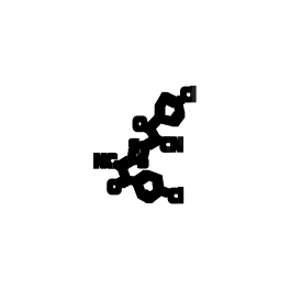 N#CC(C(=O)c1ccc(Cl)cc1)=c1sc(=C(C#N)C(=O)c2ccc(Cl)cc2)s1